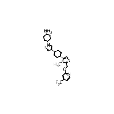 Cn1c(COc2cc(C(F)(F)F)ccn2)nnc1[C@H]1CC[C@H](c2cnn([C@H]3CC[C@H](N)CC3)c2)CC1